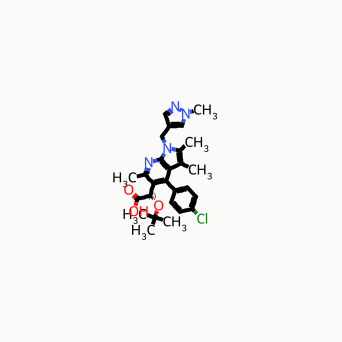 Cc1nc2c(c(C)c(C)n2Cc2cnn(C)c2)c(-c2ccc(Cl)cc2)c1[C@H](OC(C)(C)C)C(=O)O